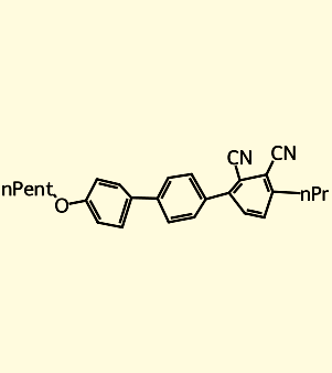 CCCCCOc1ccc(-c2ccc(-c3ccc(CCC)c(C#N)c3C#N)cc2)cc1